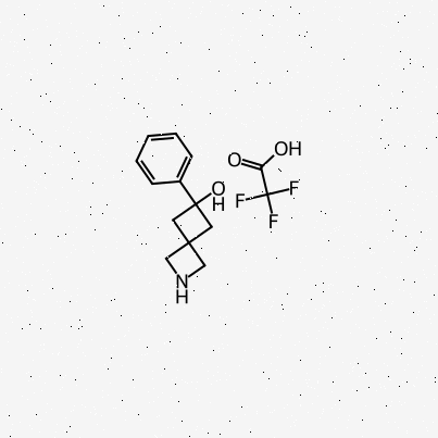 O=C(O)C(F)(F)F.OC1(c2ccccc2)CC2(CNC2)C1